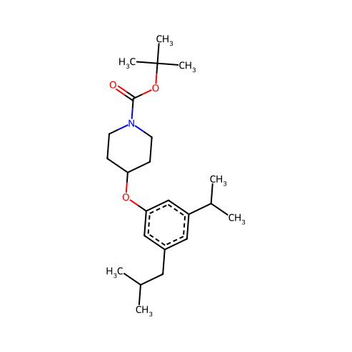 CC(C)Cc1cc(OC2CCN(C(=O)OC(C)(C)C)CC2)cc(C(C)C)c1